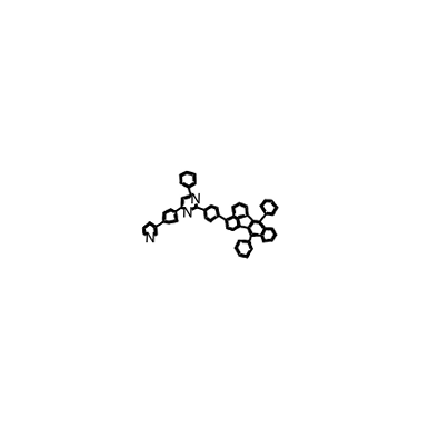 c1ccc(-c2cc(-c3ccc(-c4cccnc4)cc3)nc(-c3ccc(-c4ccc5c6c(cccc46)-c4c-5c(-c5ccccc5)c5ccccc5c4-c4ccccc4)cc3)n2)cc1